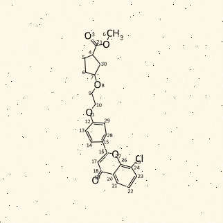 COC(=O)C1CCC(OCCOc2ccc(-c3cc(=O)c4cccc(Cl)c4o3)cc2)C1